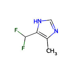 Cc1nc[nH]c1C(F)F